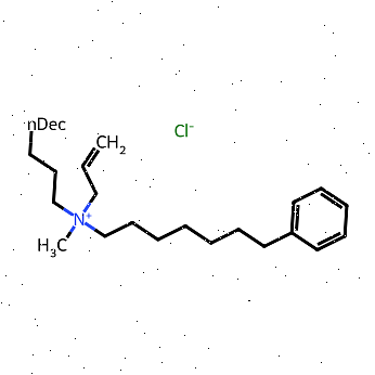 C=CC[N+](C)(CCCCCCCCCCCCC)CCCCCCCc1ccccc1.[Cl-]